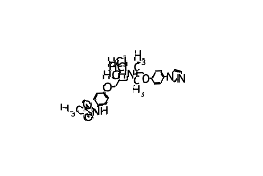 CC(C)(COc1ccc(-n2ccnc2)cc1)NCC(O)COc1ccc(NS(C)(=O)=O)cc1.Cl.Cl